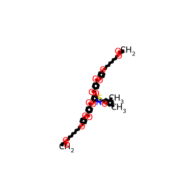 C=CC(=O)OCCCCCCCCOc1ccc(OC(=O)[C@H]2CC[C@H](C(=O)Oc3ccc(OC(=O)[C@H]4CC[C@H](C(=O)Oc5ccc(OCCCCCCCCOC(=O)C=C)cc5)CC4)c4sc(-c5cc6c(C)cc(C)cc6o5)nc34)CC2)cc1